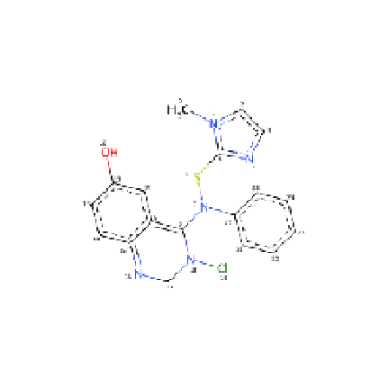 Cn1ccnc1SN(C1=c2cc(O)ccc2=NCN1Cl)c1ccccc1